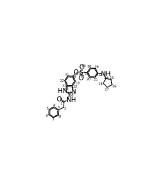 O=C(Cc1ccccc1)Nc1nc2cc(OS(=O)(=O)c3ccc(NC4CCCC4)cc3)ccc2[nH]1